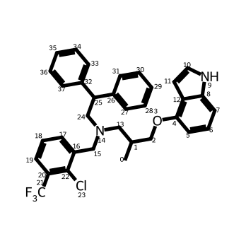 CC(COc1cccc2[nH]ccc12)CN(Cc1cccc(C(F)(F)F)c1Cl)CC(c1ccccc1)c1ccccc1